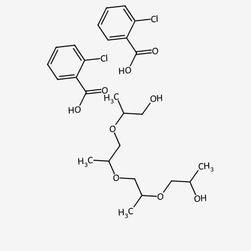 CC(O)COC(C)COC(C)COC(C)CO.O=C(O)c1ccccc1Cl.O=C(O)c1ccccc1Cl